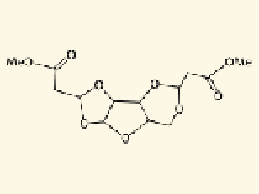 COC(=O)CC1OCC2OC3OC(CC(=O)OC)OC3C2O1